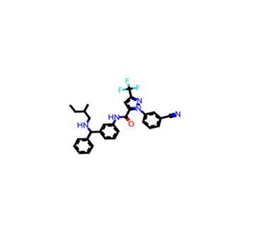 CCC(C)CNC(c1ccccc1)c1cccc(NC(=O)c2cc(C(F)(F)F)nn2-c2cccc(C#N)c2)c1